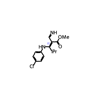 COC(=O)/C(C=N)=C(/Nc1ccc(Cl)cc1)C(C)C